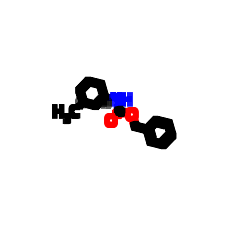 C[C@H]1CCC[C@@H](NC(=O)OCc2ccccc2)C1